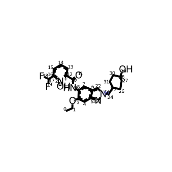 CCOc1cc2c(cc1NC(=O)c1cccc(C(F)F)[n+]1O)=C/[N+](=C\C1CCC(O)CC1)N=2